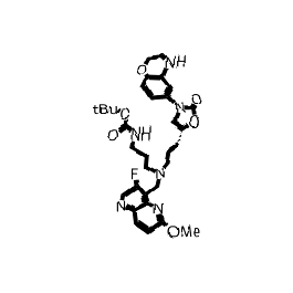 COc1ccc2ncc(F)c(CN(CCCNC(=O)OC(C)(C)C)CCC[C@@H]3CN(c4ccc5c(c4)NCCO5)C(=O)O3)c2n1